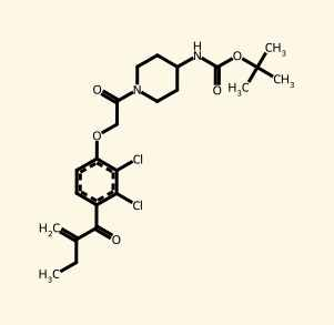 C=C(CC)C(=O)c1ccc(OCC(=O)N2CCC(NC(=O)OC(C)(C)C)CC2)c(Cl)c1Cl